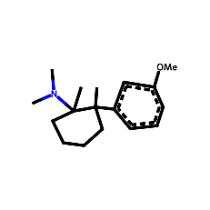 COc1cccc(C2(C)CCCCC2(C)N(C)C)c1